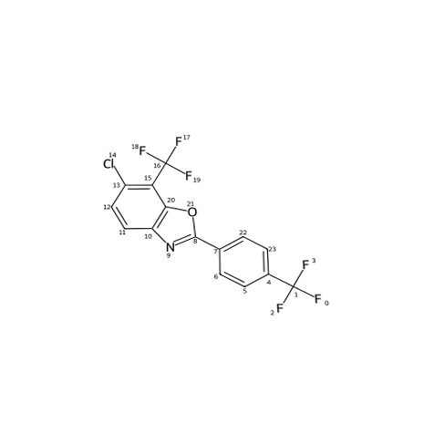 FC(F)(F)c1ccc(-c2nc3ccc(Cl)c(C(F)(F)F)c3o2)cc1